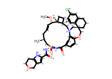 CO[C@H]1/C=C/C[C@H](C)C[S@@](=O)(NC(=O)c2cc3c([nH]2)CCOC3)=NC(=O)c2ccc3c(c2)N(C[C@@H]2CC[C@H]21)C[C@@]1(CCCc2cc(Cl)ccc21)CO3